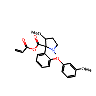 C=CC(=O)OC(=O)C1(c2ccccc2Oc2cccc(OC)c2)C(OC)CCN1C